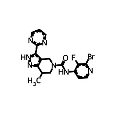 CC1CN(C(=O)Nc2ccnc(Br)c2F)Cc2c1n[nH]c2-c1ncccn1